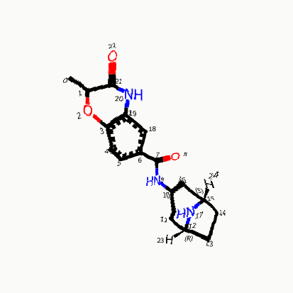 CC1Oc2ccc(C(=O)NC3C[C@H]4CC[C@@H](C3)N4)cc2NC1=O